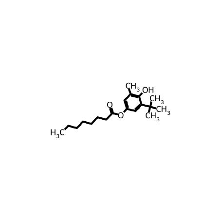 CCCCCCCC(=O)Oc1cc(C)c(O)c(C(C)(C)C)c1